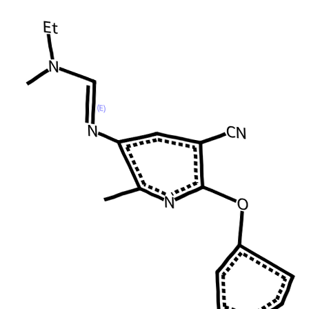 CCN(C)/C=N/c1cc(C#N)c(Oc2ccccc2)nc1C